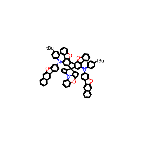 CC(C)(C)c1ccc(N(c2ccc3c(c2)oc2cc4ccccc4cc23)c2cc3c(c4oc5ccccc5c24)-c2c(cc(N(c4ccc(C(C)(C)C)cc4)c4ccc5c(c4)oc4cc6ccccc6cc45)c4c2oc2ccccc24)C32c3ccccc3N3c4ccccc4Oc4cccc2c43)cc1